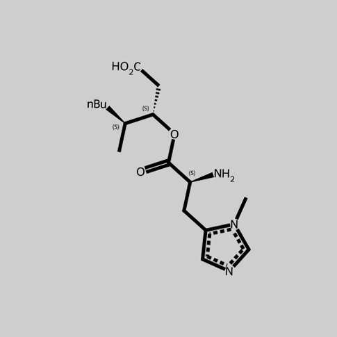 CCCC[C@H](C)[C@H](CC(=O)O)OC(=O)[C@@H](N)Cc1cncn1C